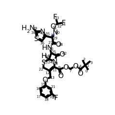 CC(C)(C)C(=O)OCOC(=O)C1=C(COc2cccc(F)c2)CS[C@@H]2C(NC(=O)/C(=N/OC(F)F)c3csc(N)n3)C(=O)N12